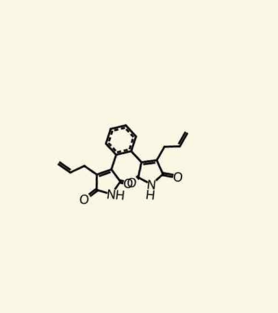 C=CCC1=C(c2ccccc2C2=C(CC=C)C(=O)NC2=O)C(=O)NC1=O